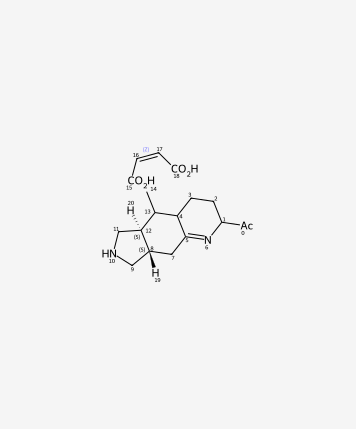 CC(=O)C1CCC2C(=N1)C[C@@H]1CNC[C@H]1C2C.O=C(O)/C=C\C(=O)O